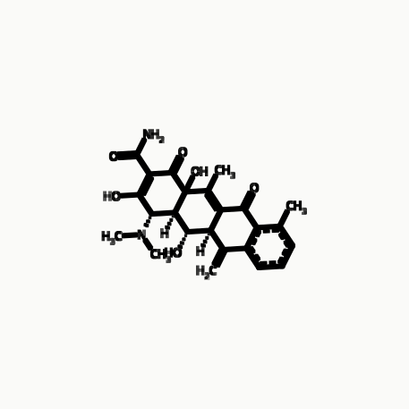 C=C1c2cccc(C)c2C(=O)C2=C(C)C3(O)C(=O)C(C(N)=O)=C(O)[C@@H](N(C)C)[C@@H]3[C@@H](O)[C@H]12